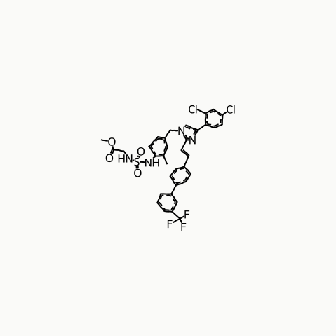 COC(=O)CNS(=O)(=O)Nc1ccc(Cn2cc(-c3ccc(Cl)cc3Cl)nc2C=Cc2ccc(-c3cccc(C(F)(F)F)c3)cc2)cc1C